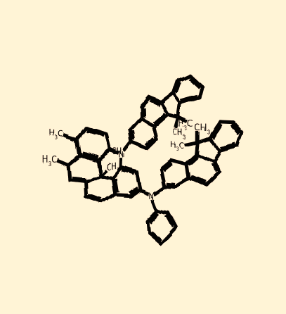 CC1C=CC2(C)C3=C1C(C)C=C1C=Cc4cc(N(c5ccccc5)c5ccc6c7c(ccc6c5)-c5ccccc5C7(C)C)cc(c4C13C)N2c1ccc2c3c(ccc2c1)-c1ccccc1C3(C)C